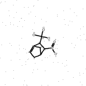 O=[N+]([O-])C1C2CC=C(C2)C1C(Cl)(Cl)Cl